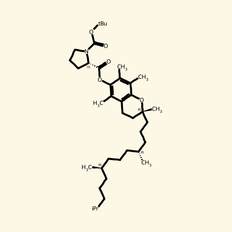 Cc1c(C)c2c(c(C)c1OC(=O)[C@@H]1CCCN1C(=O)OC(C)(C)C)CC[C@@](C)(CCC[C@H](C)CCC[C@H](C)CCCC(C)C)O2